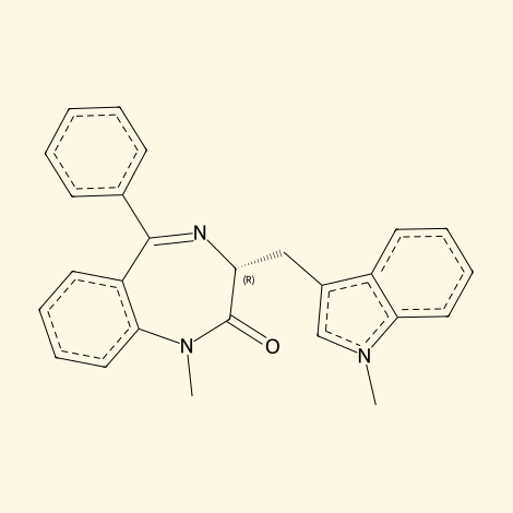 CN1C(=O)[C@@H](Cc2cn(C)c3ccccc23)N=C(c2ccccc2)c2ccccc21